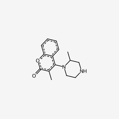 Cc1c(N2CCNCC2C)c2ccccc2oc1=O